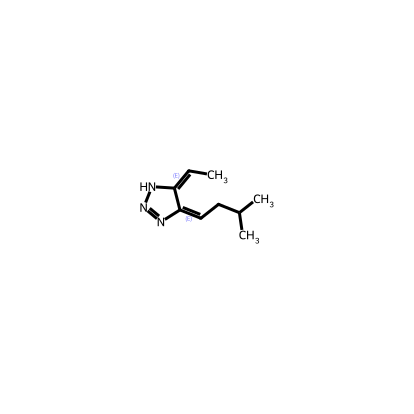 C/C=c1/[nH]nn/c1=C/CC(C)C